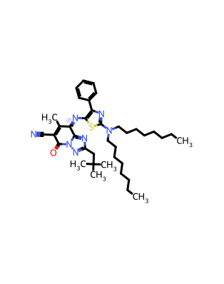 CCCCCCCCN(CCCCCCCC)c1nc(-c2ccccc2)c(/N=C2/C(C)=C(C#N)C(=O)n3nc(CC(C)(C)C)nc32)s1